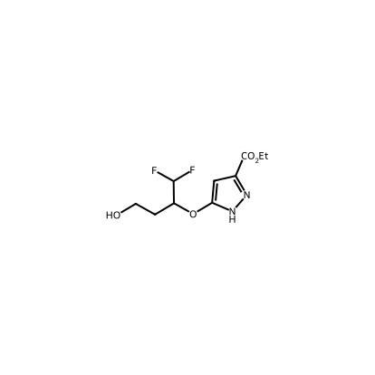 CCOC(=O)c1cc(OC(CCO)C(F)F)[nH]n1